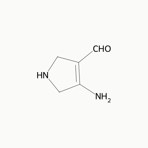 NC1=C(C=O)CNC1